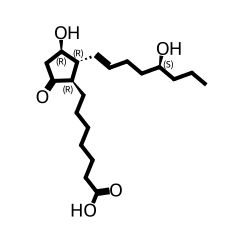 CCC[C@H](O)CCC=C[C@H]1[C@H](O)CC(=O)[C@@H]1CCCCCCC(=O)O